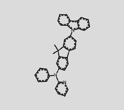 CC1(C)c2cc(N(c3ccccc3)c3ccccn3)ccc2-c2ccc(-n3c4ccccc4c4ccccc43)cc21